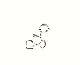 O=C(c1cccnc1)N1N=CCC1c1ccccc1